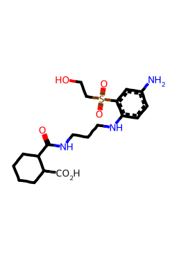 Nc1ccc(NCCCNC(=O)C2CCCCC2C(=O)O)c(S(=O)(=O)CCO)c1